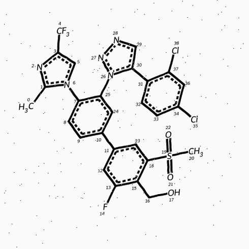 Cc1nc(C(F)(F)F)cn1-c1ccc(-c2cc(F)c(CO)c(S(C)(=O)=O)c2)cc1-n1nncc1-c1ccc(Cl)cc1Cl